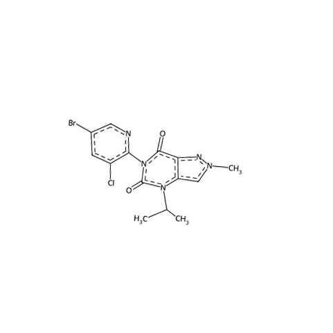 CC(C)n1c(=O)n(-c2ncc(Br)cc2Cl)c(=O)c2nn(C)cc21